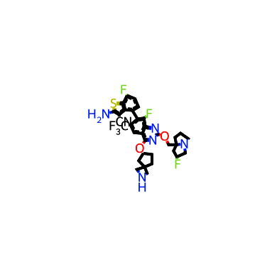 N#Cc1c(N)sc2c(F)ccc(-c3c(C(F)(F)F)cc4c(OC5CCC6(CNC6)C5)nc(OCC56CCCN5CC(F)C6)nc4c3F)c12